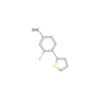 O=Cc1ccc(-c2cccs2)c(F)c1